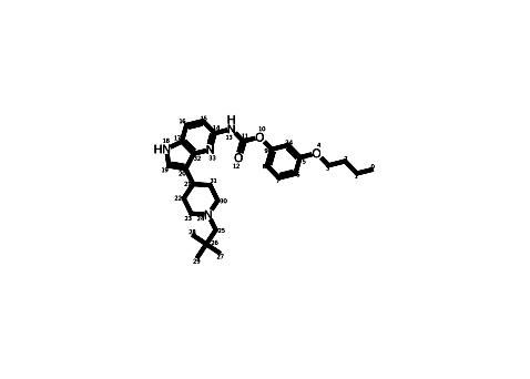 CCCCOc1cccc(OC(=O)Nc2ccc3[nH]cc(C4CCN(CC(C)(C)C)CC4)c3n2)c1